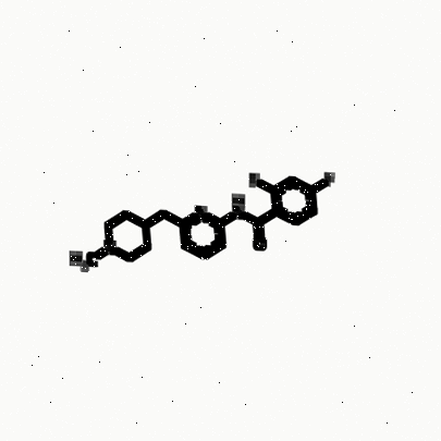 CN1CCC(Cc2cccc(NC(=O)c3ccc(F)cc3F)n2)CC1